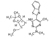 COC[C@H]1C[C@@H](Nc2nc(N(C)C)nc(C)c2-c2nc3ccccc3s2)[C@@H]2OC(C)(C)O[C@H]12